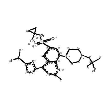 Cc1nc(-c2nnc(C(F)F)s2)c2cc(S(=O)(=O)NC3(C#N)CC3)cc(N3CCN(CC(C)(C)F)CC3)c2n1